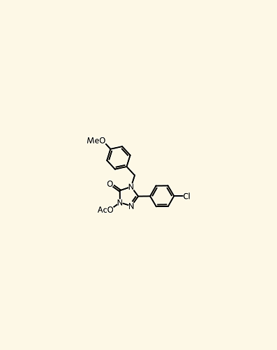 COc1ccc(Cn2c(-c3ccc(Cl)cc3)nn(OC(C)=O)c2=O)cc1